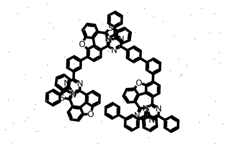 c1ccc(-c2cccc(-c3nc(-c4ccccc4)nc(-c4ccc(-c5cccc(-c6ccc(-c7nc(-c8ccccc8)nc(-c8ccc(-c9cccc(-c%10nc(-c%11ccccc%11)nc(-c%11cccc%12oc%13cccc(-c%14nc%15ccccc%15s%14)c%13c%11%12)n%10)c9)c9oc%10cccc(-c%11nc%12ccccc%12s%11)c%10c89)n7)cc6)c5)c5oc6cccc(-c7nc8ccccc8s7)c6c45)n3)c2)cc1